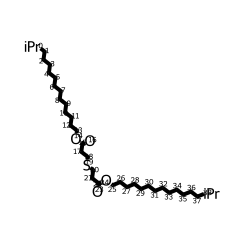 CC(C)CCCCCCCCCCCCCOC(=O)CCSCCC(=O)OCCCCCCCCCCCCCC(C)C